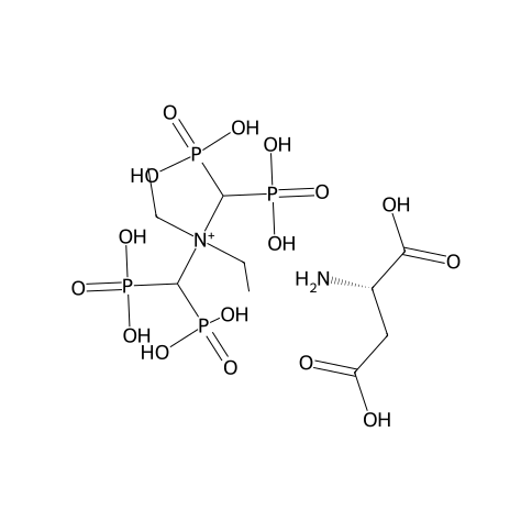 CC[N+](CC)(C(P(=O)(O)O)P(=O)(O)O)C(P(=O)(O)O)P(=O)(O)O.N[C@@H](CC(=O)O)C(=O)O